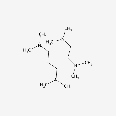 CN(C)CCCN(C)C.CN(C)CCN(C)C